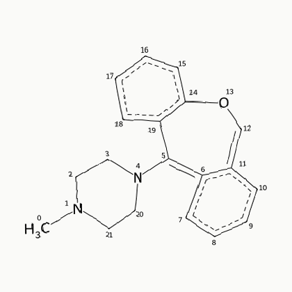 CN1CCN(C2=c3ccccc3=COc3ccccc32)CC1